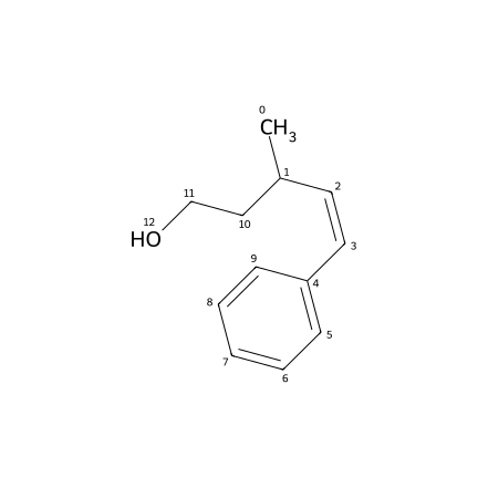 CC(/C=C\c1ccccc1)CCO